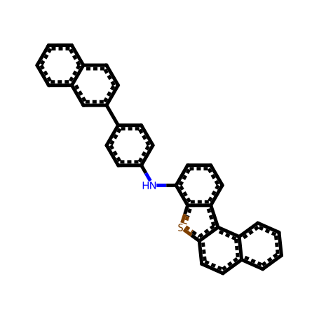 c1ccc2cc(-c3ccc(Nc4cccc5c4sc4ccc6ccccc6c45)cc3)ccc2c1